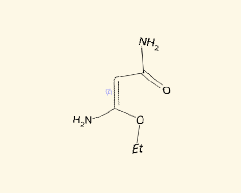 CCO/C(N)=C\C(N)=O